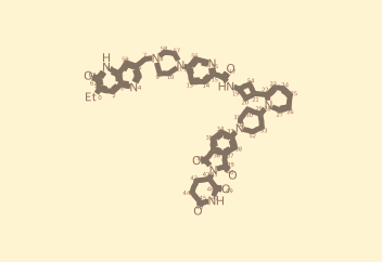 CCc1cc2ncc(CN3CCN(c4ccc(C(=O)NC5CC(C6=CC=CC=CN6C6CCN(c7ccc8c(c7)C(=O)N(C7CCC(=O)NC7=O)C8=O)CC6)C5)nc4)CC3)cc2[nH]c1=O